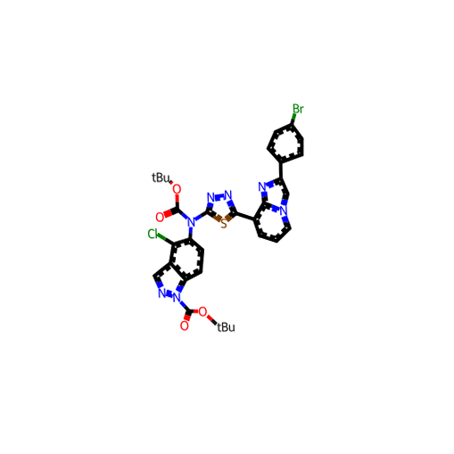 CC(C)(C)OC(=O)N(c1nnc(-c2cccn3cc(-c4ccc(Br)cc4)nc23)s1)c1ccc2c(cnn2C(=O)OC(C)(C)C)c1Cl